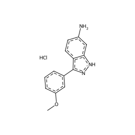 COc1cccc(-c2n[nH]c3cc(N)ccc23)c1.Cl